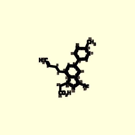 C=CCCc1cc(-c2cnc(C)nc2)cc2c(C(C)=O)nn(CC(=O)O)c12